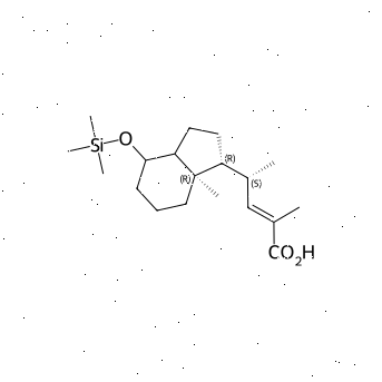 CC(=C[C@@H](C)[C@H]1CCC2C(O[Si](C)(C)C)CCC[C@@]21C)C(=O)O